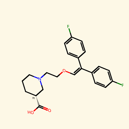 O=C(O)[C@@H]1CCCN(CCOC=C(c2ccc(F)cc2)c2ccc(F)cc2)C1